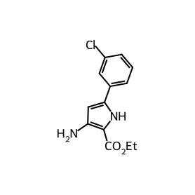 CCOC(=O)c1[nH]c(-c2cccc(Cl)c2)cc1N